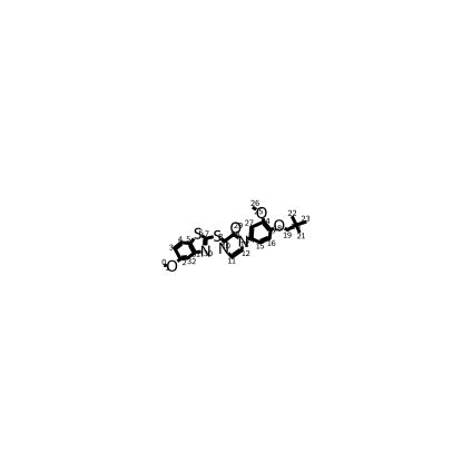 COc1ccc2sc(Sc3nccn(-c4ccc(OCC(C)(C)C)c(OC)c4)c3=O)nc2c1